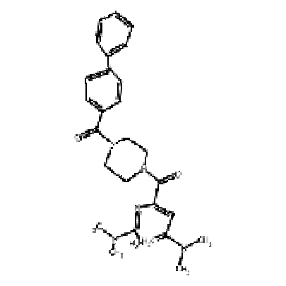 C=C(/C=C(\N=C(/N)N(C)C)C(=O)N1CCN(C(=O)c2ccc(-c3ccccc3)cc2)CC1)N(C)C